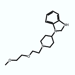 COCCOCCN1CCC(N2[CH]Nc3ccccc32)CC1